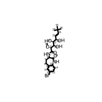 CO[C@@H](C(=O)NC1CCc2cc(Br)ccc2NC1=O)[C@H](O)[C@@H](O)[C@H](O)/C=C/C(C)(C)C